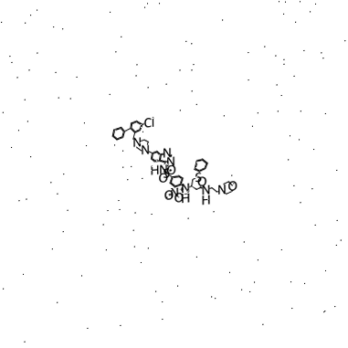 O=C(C[C@H](CSc1ccccc1)Nc1ccc(S(=O)(=O)Nc2ncnc3cc(N4CCN(Cc5cc(Cl)ccc5-c5ccccc5)CC4)ccc23)cc1[N+](=O)[O-])NCCN1CCOCC1